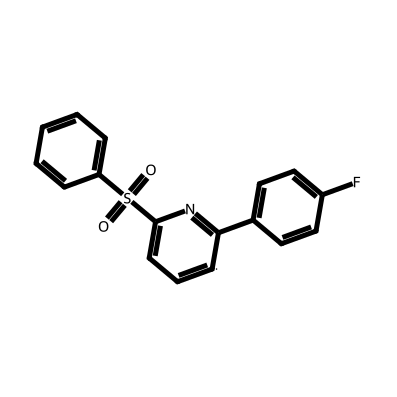 O=S(=O)(c1ccccc1)c1cc[c]c(-c2ccc(F)cc2)n1